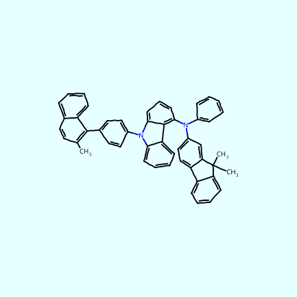 Cc1ccc2ccccc2c1-c1ccc(-n2c3ccccc3c3c(N(c4ccccc4)c4ccc5c(c4)C(C)(C)c4ccccc4-5)cccc32)cc1